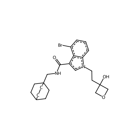 O=C(NCC12CCC(CC1)CC2)c1cn(CCC2(O)COC2)c2cccc(Br)c12